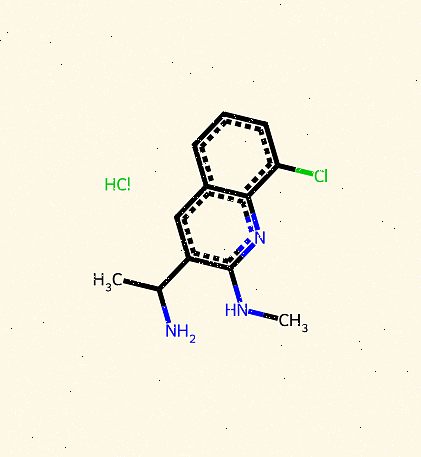 CNc1nc2c(Cl)cccc2cc1C(C)N.Cl